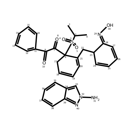 CC(C)S(=O)(=O)C1(C(=O)C(=O)c2ccccc2)CC=CC=C1CC1C=CC=CC1=NO.Nn1cc2ccccc2n1